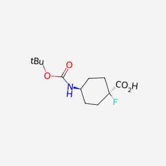 CC(C)(C)OC(=O)N[C@H]1CC[C@](F)(C(=O)O)CC1